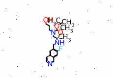 C[C@H](CN(CCCO)C(=O)OC(C)(C)C)NCc1cc2ccncc2cc1F